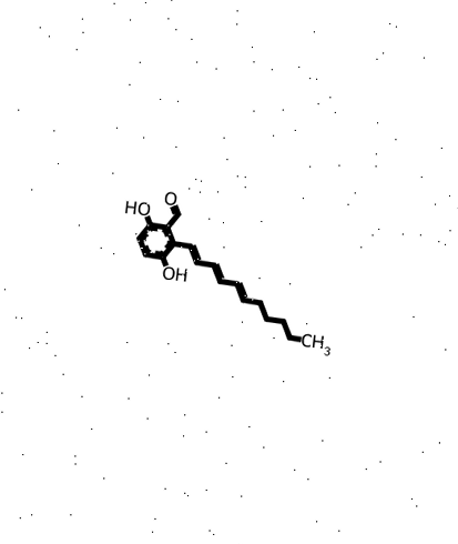 CCCCC/C=C/C=C/C=C/c1c(O)ccc(O)c1C=O